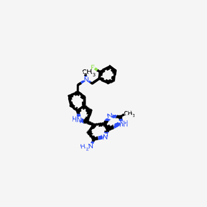 Cc1nc2c(-c3cc4cc(CN(C)Cc5ccccc5F)ccc4[nH]3)cc(N)nc2[nH]1